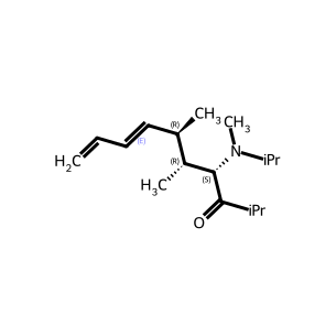 C=C/C=C/[C@@H](C)[C@@H](C)[C@@H](C(=O)C(C)C)N(C)C(C)C